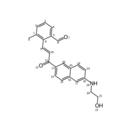 Cc1cccc(C=O)c1/C=C/C(=O)c1ccc2cc(NCCO)ccc2c1